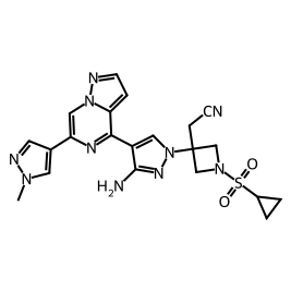 Cn1cc(-c2cn3nccc3c(-c3cn(C4(CC#N)CN(S(=O)(=O)C5CC5)C4)nc3N)n2)cn1